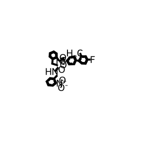 Cc1cc(F)ccc1-c1ccc(S(=O)(=O)N2c3ccccc3C[C@H]2C(=O)NCc2ccccc2[N+](=O)[O-])cc1